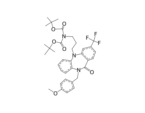 COc1ccc(CN2C(=O)c3ccc(C(F)(F)F)cc3N(CCCN(C(=O)OC(C)(C)C)C(=O)OC(C)(C)C)c3ccccc32)cc1